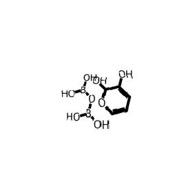 OB(O)OB(O)O.OC1=CC=COC1O